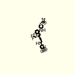 CN(C)C(=O)CN1CCC(Nc2cccc3c2cc(C#CCNc2ccc(S(C)(=O)=O)nc2)n3CC(F)(F)F)CC1